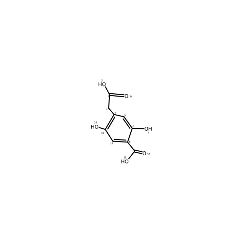 O=C(O)Cc1cc(O)c(C(=O)O)cc1O